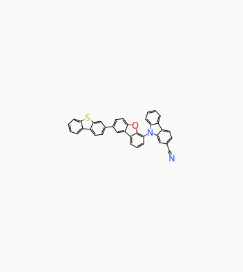 N#Cc1ccc2c3ccccc3n(-c3cccc4c3oc3ccc(-c5ccc6c(c5)sc5ccccc56)cc34)c2c1